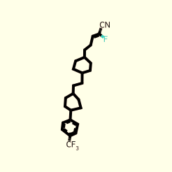 N#CC(F)=CCCC1CCC(CCC2CCC(c3ccc(C(F)(F)F)cc3)CC2)CC1